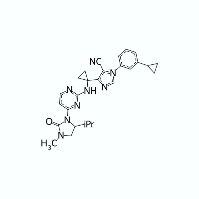 CC(C)C1CN(C)C(=O)N1c1ccnc(NC2(c3ncn(-c4cccc(C5CC5)c4)c3C#N)CC2)n1